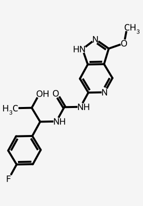 COc1n[nH]c2cc(NC(=O)NC(c3ccc(F)cc3)C(C)O)ncc12